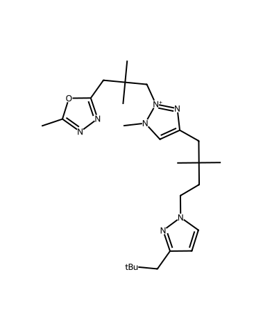 Cc1nnc(CC(C)(C)C[n+]2nc(CC(C)(C)CCn3ccc(CC(C)(C)C)n3)cn2C)o1